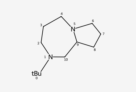 CC(C)(C)N1CCCN2CCCC2C1